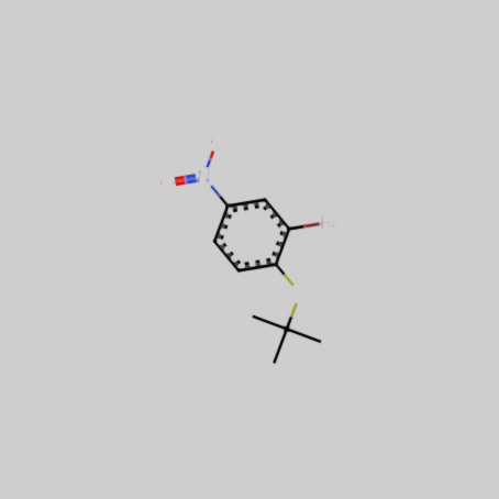 CC(C)(C)Sc1ccc([N+](=O)[O-])cc1Br